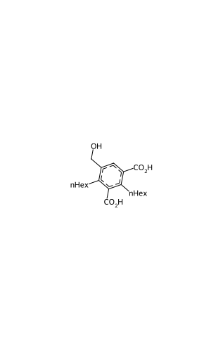 CCCCCCc1c(CO)cc(C(=O)O)c(CCCCCC)c1C(=O)O